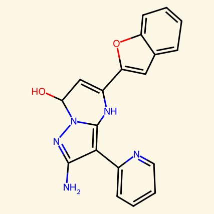 Nc1nn2c(c1-c1ccccn1)NC(c1cc3ccccc3o1)=CC2O